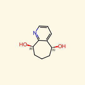 O[C@@H]1CCC[C@H](O)c2cccnc21